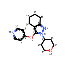 c1cc(Oc2c3c(nn2C2CCOCC2)CCCC3)ccn1